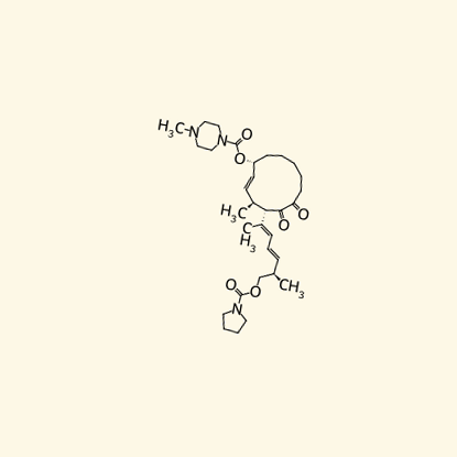 C/C(=C\C=C\[C@@H](C)COC(=O)N1CCCC1)[C@H]1C(=O)C(=O)CCCCC[C@@H](OC(=O)N2CCN(C)CC2)/C=C/[C@@H]1C